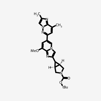 COc1cc(-c2cc(C)c3nc(C)cn3n2)cn2cc(C3[C@H]4CN(C(=O)OC(C)(C)C)C[C@@H]34)nc12